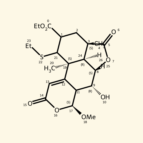 CCOC(=O)C1C[C@]2(C)C(=O)O[C@@H]3[C@H](O)C4C(=CC(=O)O[C@@H]4OC)[C@@](C)(C1SCC)[C@H]32